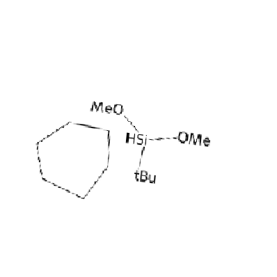 C1CCCCC1.CO[SiH](OC)C(C)(C)C